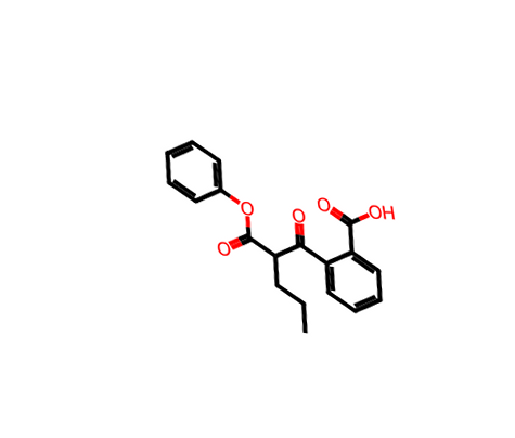 CCCC(C(=O)Oc1ccccc1)C(=O)c1ccccc1C(=O)O